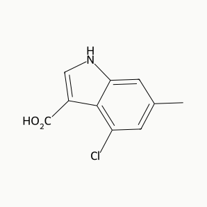 Cc1cc(Cl)c2c(C(=O)O)c[nH]c2c1